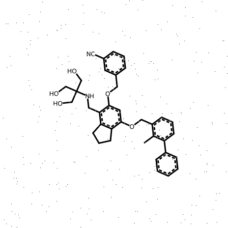 Cc1c(COc2cc(OCc3cccc(C#N)c3)c(CNC(CO)(CO)CO)c3c2CCC3)cccc1-c1ccccc1